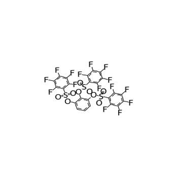 O=S(=O)(Oc1cccc(OS(=O)(=O)c2c(F)c(F)c(F)c(F)c2F)c1OS(=O)(=O)c1c(F)c(F)c(F)c(F)c1F)c1c(F)c(F)c(F)c(F)c1F